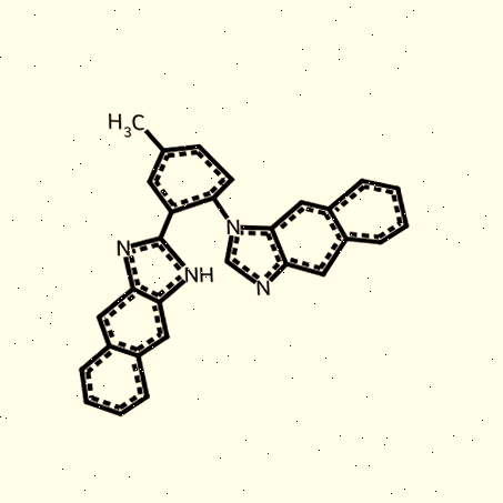 Cc1ccc(-n2cnc3cc4ccccc4cc32)c(-c2nc3cc4ccccc4cc3[nH]2)c1